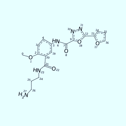 COc1ccc(NC(=O)c2nnc(-c3ccco3)o2)cc1C(=O)NCCCN